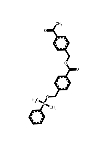 CC(=O)c1ccc(COC(=O)c2ccc(CO[Si](C)(C)c3ccccc3)cc2)cc1